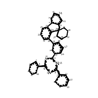 c1ccc(-c2nc(-c3ccccc3)nc(-c3cccc(-c4cccc5c4C4(CCCCC4)c4ccccc4-5)c3)n2)cc1